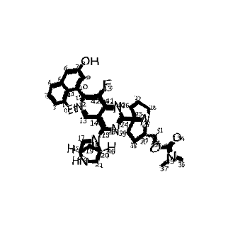 CCc1cccc2cc(O)cc(-c3ncc4c(N5C[C@H]6C[C@@H]5CN6)nc(C56CCCN5[C@@H](COC(=O)N(C)C)CC6)nc4c3F)c12